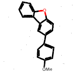 COc1ccc(-c2ccc3oc4ccccc4c3c2)cc1